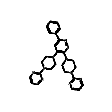 c1ccc(-c2cc(N3CCN(c4ncccn4)CC3)c(N3CCN(c4ncccn4)CC3)nn2)cc1